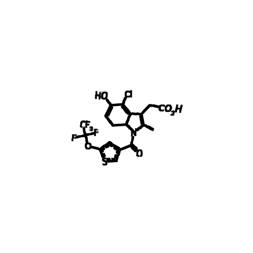 CC1=C(CC(=O)O)C2=C(Cl)C(O)=CCC2N1C(=O)c1csc(OC(F)(F)C(F)(F)F)c1